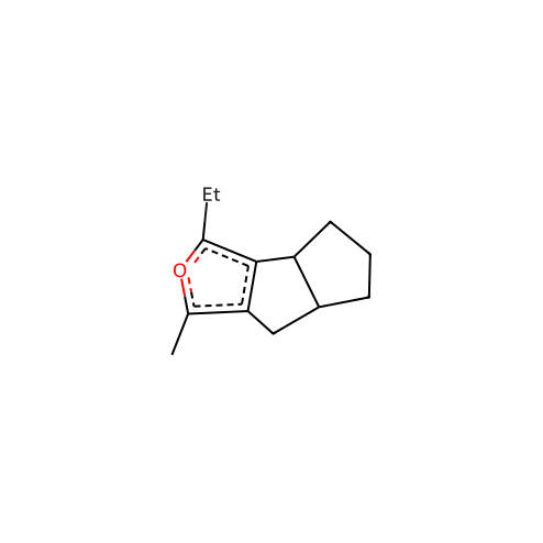 CCc1oc(C)c2c1C1CCCC1C2